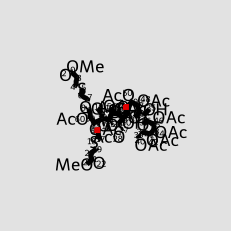 COC(=O)CCSCCO[C@H]1O[C@H](COC(C)=O)[C@](OCCSCCC(=O)OC)([C@@H]2O[C@H](COC(C)=O)[C@](O)([C@@H]3O[C@H](C(O)[C@@H]4O[C@H](COC(C)=O)[C@@H](OC(C)=O)[C@H](OC(C)=O)[C@H]4OC(C)=O)[C@@H](OC(C)=O)[C@H](OC(C)=O)[C@H]3OC(C)=O)[C@H](OC(C)=O)[C@H]2OC(C)=O)[C@H](OC(C)=O)[C@H]1OC(C)=O